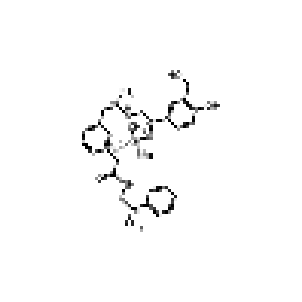 C[C@H](Cc1cccc(CC(=O)NC[C@H](C)c2ccccc2)c1)NC[C@H](O[Si](C)(C)C(C)(C)C)c1ccc(O)c(CO)c1